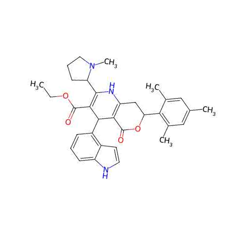 CCOC(=O)C1=C(C2CCCN2C)NC2=C(C(=O)OC(c3c(C)cc(C)cc3C)C2)C1c1cccc2[nH]ccc12